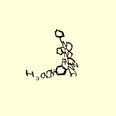 CN1CCN(c2ccc(Nc3ncc4c(n3)N(C3CCCC3)C3(CCCN(Cc5ccccc5)C3=O)C4)c(F)c2)CC1